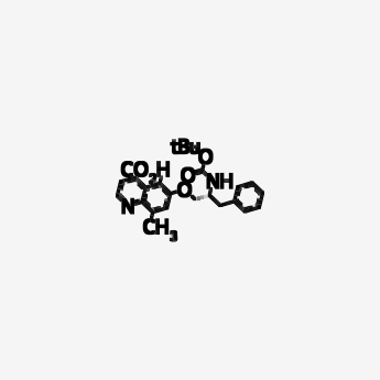 Cc1cc(OC[C@@H](Cc2ccccc2)NC(=O)OC(C)(C)C)c(C(=O)O)c2cccnc12